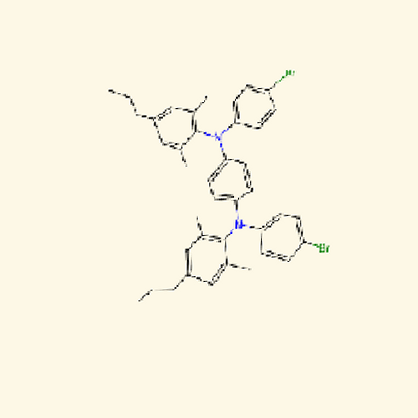 CCCc1cc(C)c(N(c2ccc(Br)cc2)c2ccc(N(c3ccc(Br)cc3)c3c(C)cc(CCC)cc3C)cc2)c(C)c1